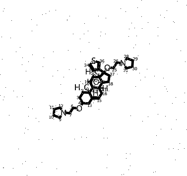 C[C@]12CCC(OCCN3CCCC3)CC1=CC[C@@H]1[C@H]2CC[C@]2(C)C(OCCN3CCCC3)(c3ccsc3)CC[C@@]12O